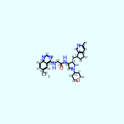 Cc1cc2c(cn1)C(C[C@H]1CN(C3CCOCC3)CC1NC(=O)CNc1ncnc3ccc(C(F)(F)F)cc13)CC2